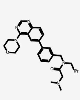 CC(C)CN(Cc1cccc(-c2ccc3ncnc(N4CCOCC4)c3c2)c1)C(=O)CN(C)C